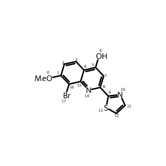 COc1ccc2c(O)cc(-c3nccs3)nc2c1Br